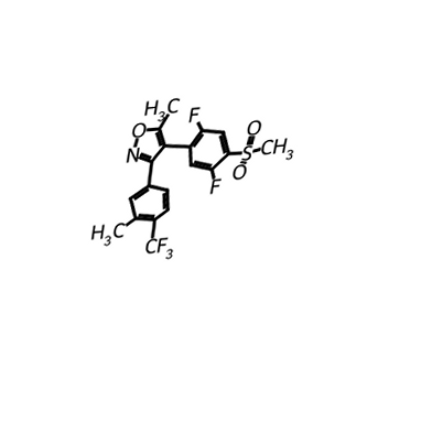 Cc1cc(-c2noc(C)c2-c2cc(F)c(S(C)(=O)=O)cc2F)ccc1C(F)(F)F